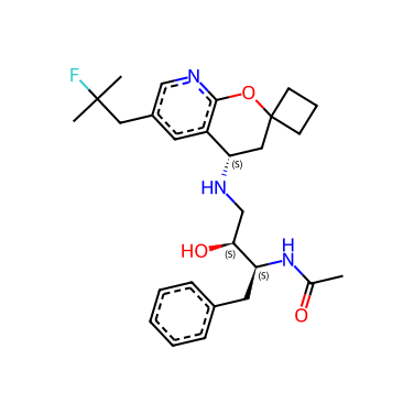 CC(=O)N[C@@H](Cc1ccccc1)[C@@H](O)CN[C@H]1CC2(CCC2)Oc2ncc(CC(C)(C)F)cc21